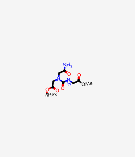 CCCCCCOC(=O)CN(CC(N)=O)C(=O)NCC(=O)OC